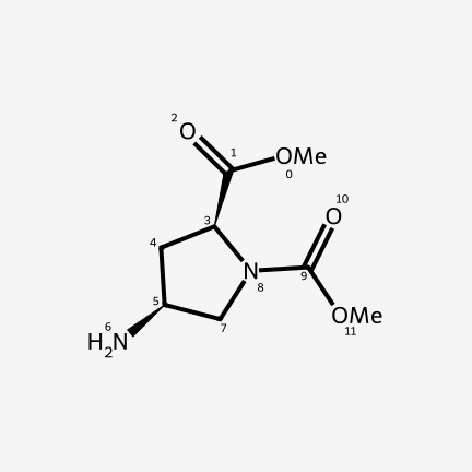 COC(=O)[C@@H]1C[C@H](N)CN1C(=O)OC